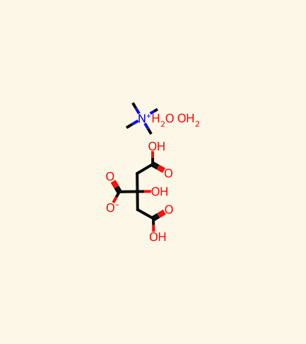 C[N+](C)(C)C.O.O.O=C(O)CC(O)(CC(=O)O)C(=O)[O-]